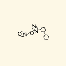 c1ccc(-c2cccc(-c3cncc(OCCN4CCOCC4)n3)c2)cc1